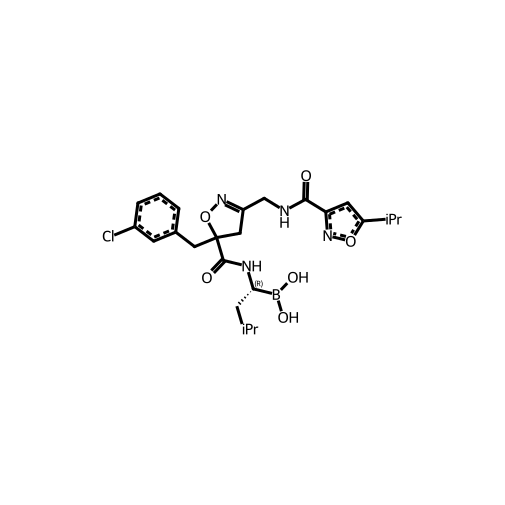 CC(C)C[C@H](NC(=O)C1(Cc2cccc(Cl)c2)CC(CNC(=O)c2cc(C(C)C)on2)=NO1)B(O)O